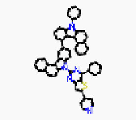 c1ccc(-c2nc(-n3c4ccc(-c5cccc6c5c5c7ccccc7ccc5n6-c5ccccc5)cc4c4c5ccccc5ccc43)nc3cc(-c4ccncc4)sc23)cc1